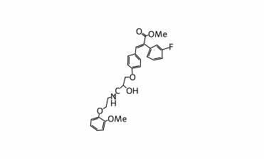 COC(=O)C(=Cc1ccc(OCC(O)CNCCOc2ccccc2OC)cc1)c1cccc(F)c1